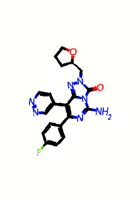 Nc1nc(-c2ccc(F)cc2)c(-c2ccnnc2)c2nn(C[C@H]3CCCO3)c(=O)n12